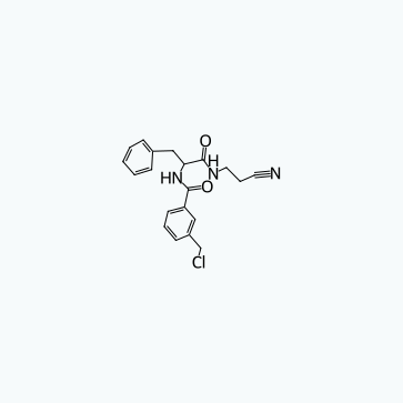 N#CCCNC(=O)C(Cc1ccccc1)NC(=O)c1cccc(CCl)c1